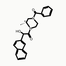 C[C@@H]1CN(C(=O)c2ccccc2)CCN1C(=O)C(O)c1ccc2ccccc2c1